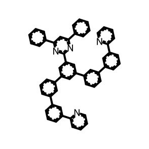 c1ccc(-c2cc(-c3ccccc3)nc(-c3cc(-c4cccc(-c5cccc(-c6ccccn6)c5)c4)cc(-c4cccc(-c5cccc(-c6ccccn6)c5)c4)c3)n2)cc1